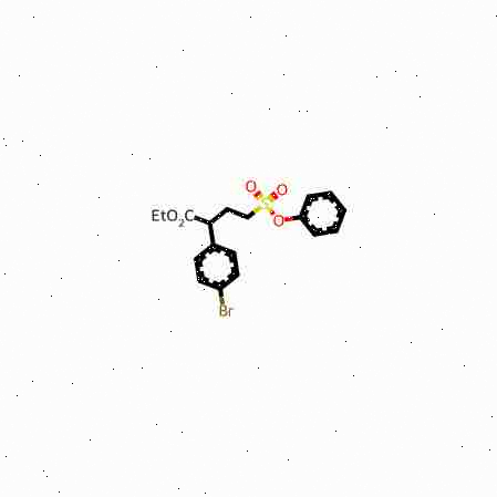 CCOC(=O)C(CCS(=O)(=O)Oc1ccccc1)c1ccc(Br)cc1